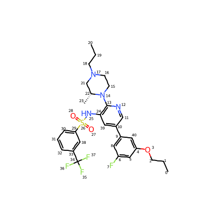 CCCOc1cc(F)cc(-c2cnc(N3CCN(CCC)C[C@H]3C)c(NS(=O)(=O)c3cccc(C(F)(F)F)c3)c2)c1